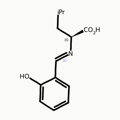 CC(C)C[C@H](/N=C/c1ccccc1O)C(=O)O